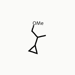 COCC(C)C1CC1